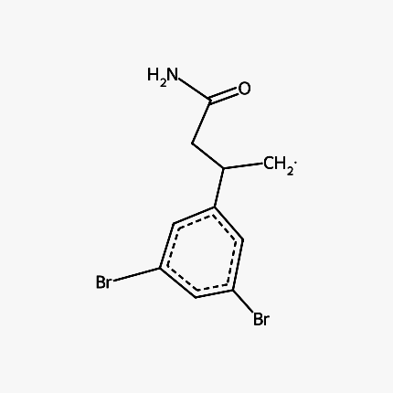 [CH2]C(CC(N)=O)c1cc(Br)cc(Br)c1